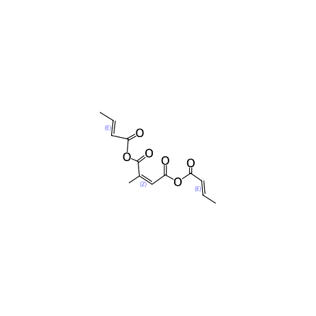 C/C=C/C(=O)OC(=O)/C=C(/C)C(=O)OC(=O)/C=C/C